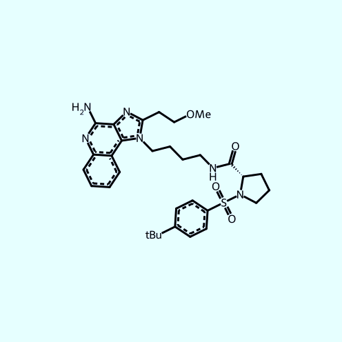 COCCc1nc2c(N)nc3ccccc3c2n1CCCCNC(=O)[C@@H]1CCCN1S(=O)(=O)c1ccc(C(C)(C)C)cc1